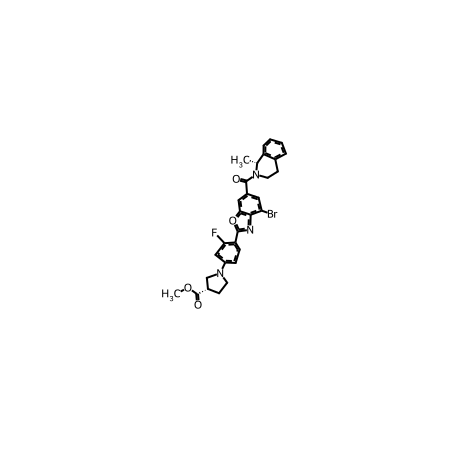 COC(=O)[C@H]1CCN(c2ccc(-c3nc4c(Br)cc(C(=O)N5CCc6ccccc6[C@H]5C)cc4o3)c(F)c2)C1